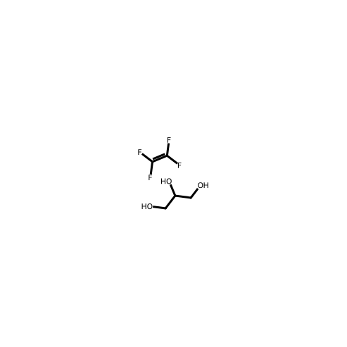 FC(F)=C(F)F.OCC(O)CO